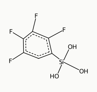 O[Si](O)(O)c1cc(F)c(F)c(F)c1F